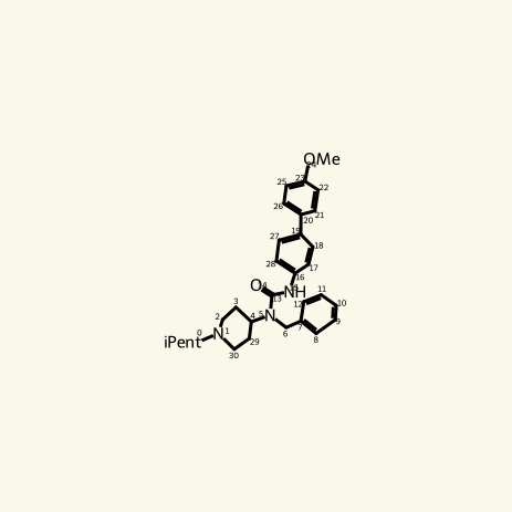 CCCC(C)N1CCC(N(Cc2ccccc2)C(=O)Nc2ccc(-c3ccc(OC)cc3)cc2)CC1